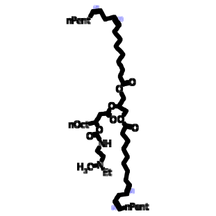 CCCCC/C=C\C/C=C\CCCCCCCC(=O)OCC(COC(=O)CCCCCCC/C=C\C/C=C\CCCCC)OC(=O)CC(CCCCCCCC)OC(=O)NCCN(C)CC